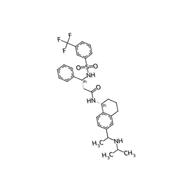 CC(C)NC(C)c1ccc2c(c1)CCC[C@H]2NC(=O)C[C@@H](NS(=O)(=O)c1cccc(C(F)(F)F)c1)c1ccccc1